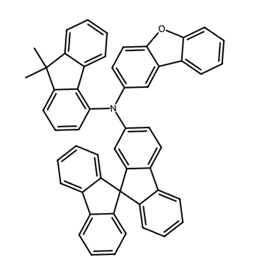 CC1(C)c2ccccc2-c2c(N(c3ccc4c(c3)C3(c5ccccc5-c5ccccc53)c3ccccc3-4)c3ccc4oc5ccccc5c4c3)cccc21